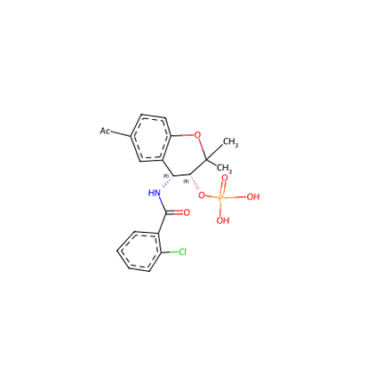 CC(=O)c1ccc2c(c1)[C@@H](NC(=O)c1ccccc1Cl)[C@@H](OP(=O)(O)O)C(C)(C)O2